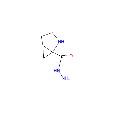 NNC(=O)C12CC1CCN2